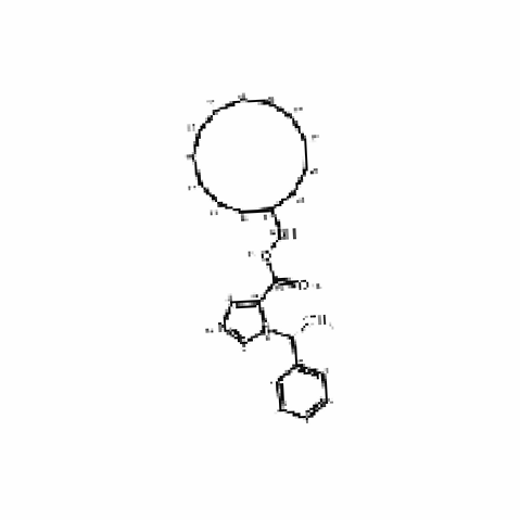 C[C@H](c1ccccc1)n1cncc1C(=O)OBC1CCCCCCCCCCCC1